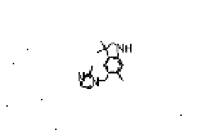 Cc1cc2c(cc1Cn1ccnc1C)C(C)(C)CN2